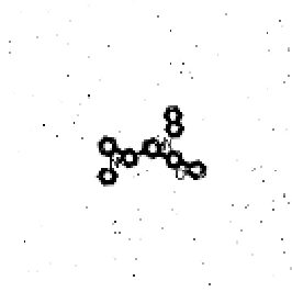 c1ccc(-n2c3ccccc3c3cc(-c4ccc5c(c4)c4cc6oc7ccccc7c6cc4n5-c4ccc5ccccc5c4)ccc32)cc1